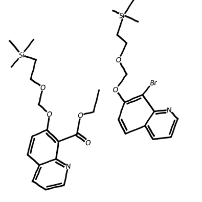 CCOC(=O)c1c(OCOCC[Si](C)(C)C)ccc2cccnc12.C[Si](C)(C)CCOCOc1ccc2cccnc2c1Br